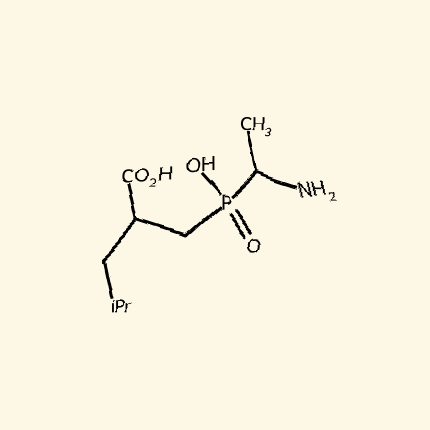 CC(C)CC(CP(=O)(O)C(C)N)C(=O)O